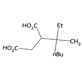 CCCCC(C)(CC)C(CC(=O)O)C(=O)O